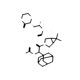 CC1(C)[C@@H]2[C@@H](C(=O)N[C@H](C#N)C[C@@H]3OCCNC3=O)N(C(=O)C(NC(=O)C(F)(F)F)C34CC5CC(CC(C5)C3)C4)C[C@@H]21